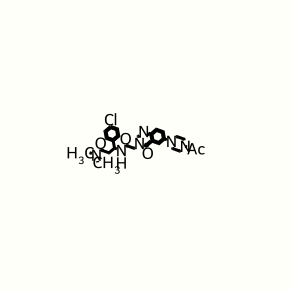 CC(=O)N1CCN(c2ccc3ncn(CC(=O)NC(CC(=O)N(C)C)c4ccc(Cl)cc4)c(=O)c3c2)CC1